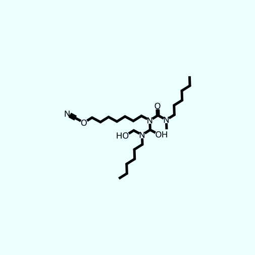 CCCCCCN(C)C(=O)N(CCCCCCCOC#N)C(O)N(CO)CCCCCC